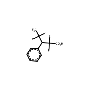 O=C(O)C(F)(F)C(c1ccccc1)C(F)(F)C(F)(F)F